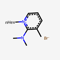 CCCCCC[n+]1cccc(C)c1N(C)C.[Br-]